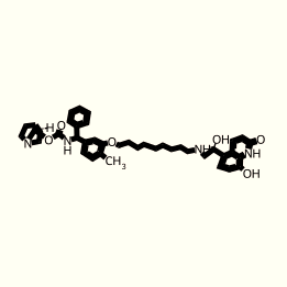 Cc1ccc(C(NC(=O)O[C@H]2CN3CCC2CC3)c2ccccc2)cc1OCCCCCCCCCNC[C@H](O)c1ccc(O)c2[nH]c(=O)ccc12